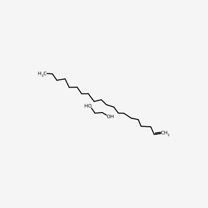 C=CCCCCCCCCCCCCCCCCCC.OCCO